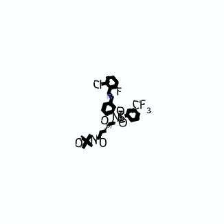 O=C(CC[C@H]1CN(S(=O)(=O)c2cccc(C(F)(F)F)c2)c2cc(/C=C/c3c(F)cccc3Cl)ccc2O1)N1CC2(COC2)C1